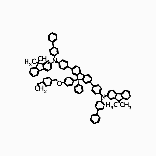 C=Cc1ccc(COc2ccc(C3(c4ccccc4)c4cc(-c5ccc(N(c6ccc(-c7ccccc7)cc6)c6ccc7c(c6)C(C)(C)c6ccccc6-7)cc5)ccc4-c4ccc(-c5ccc(N(c6ccc(-c7ccccc7)cc6)c6ccc7c(c6)C(C)(C)c6ccccc6-7)cc5)cc43)cc2)cc1